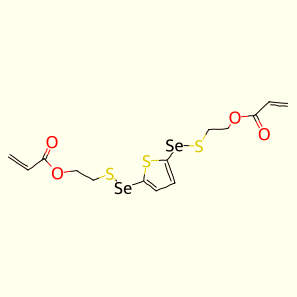 C=CC(=O)OCCS[Se]c1ccc([Se]SCCOC(=O)C=C)s1